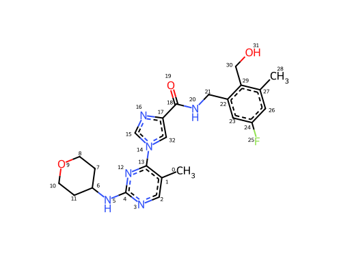 Cc1cnc(NC2CCOCC2)nc1-n1cnc(C(=O)NCc2cc(F)cc(C)c2CO)c1